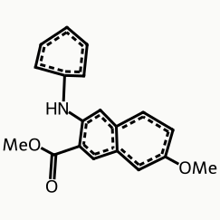 COC(=O)c1cc2cc(OC)ccc2cc1Nc1ccccc1